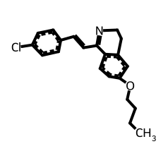 CCCCOc1ccc2c(c1)CCN=C2C=Cc1ccc(Cl)cc1